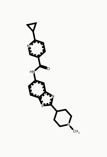 CN1CCC(c2nc3cc(NC(=O)c4ccc(C5CC5)nc4)ccc3s2)CC1